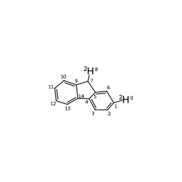 [2H]c1ccc2c(c1)C([2H])c1ccccc1-2